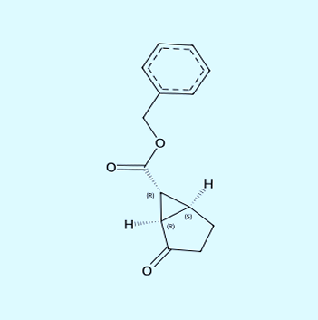 O=C1CC[C@H]2[C@@H]1[C@@H]2C(=O)OCc1ccccc1